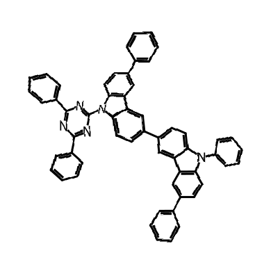 c1ccc(-c2ccc3c(c2)c2cc(-c4ccc5c(c4)c4cc(-c6ccccc6)ccc4n5-c4nc(-c5ccccc5)nc(-c5ccccc5)n4)ccc2n3-c2ccccc2)cc1